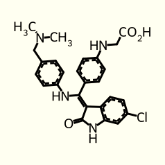 CN(C)Cc1ccc(N/C(=C2\C(=O)Nc3cc(Cl)ccc32)c2ccc(NCC(=O)O)cc2)cc1